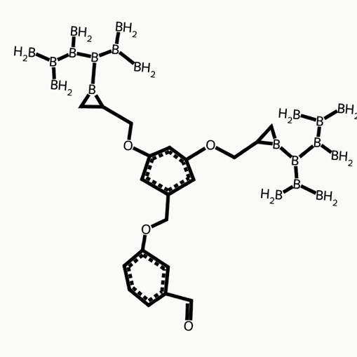 BB(B)B(B)B(B(B)B)B1CC1COc1cc(COc2cccc(C=O)c2)cc(OCC2CB2B(B(B)B)B(B)B(B)B)c1